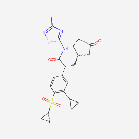 Cc1nsc(NC(=O)[C@H](C[C@H]2CCC(=O)C2)c2ccc(S(=O)(=O)C3CC3)c(C3CC3)c2)n1